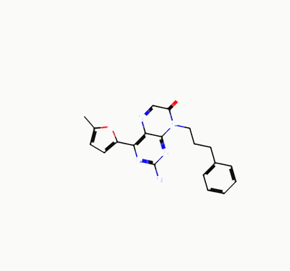 Cc1ccc(-c2nc(N)nc3c2ncc(=O)n3CCCc2ccccc2)o1